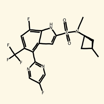 CN(C12CC(C)(C1)C2)S(=O)(=O)c1cc2c(-c3ncc(F)cn3)c(C(F)(F)F)cc(F)c2[nH]1